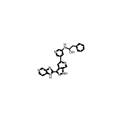 OC(Cc1ccccc1)Nc1cncc(-c2cc3c(-c4nc5cnccc5[nH]4)n[nH]c3cn2)c1